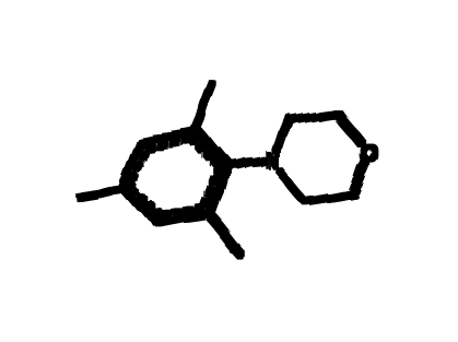 Cc1cc(C)c(N2CCOCC2)c(C)c1